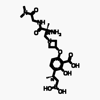 C[C@@H](CB(O)O)c1ccc(OC2CN(C[C@](C)(N)C(=O)NCC(=O)N(C)C)C2)c(C(=O)O)c1O